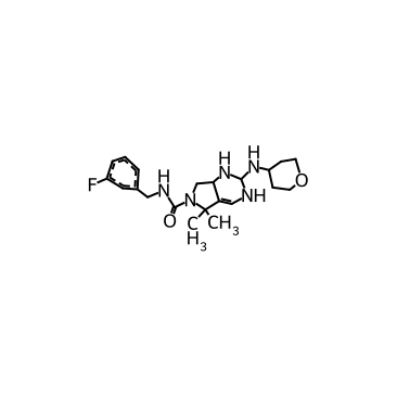 CC1(C)C2=CNC(NC3CCOCC3)NC2CN1C(=O)NCc1cccc(F)c1